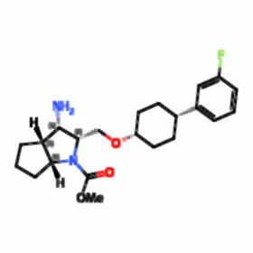 COC(=O)N1[C@@H]2CCC[C@@H]2[C@H](N)[C@@H]1CO[C@H]1CC[C@@H](c2cccc(F)c2)CC1